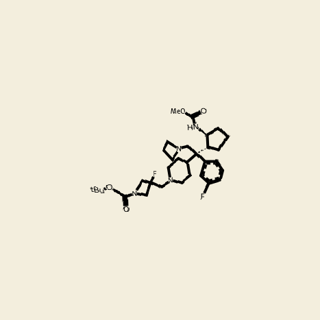 COC(=O)N[C@H]1CCC[C@@H]1C(CN1CCC1)(c1cccc(F)c1)C1CCN(CC2(F)CN(C(=O)OC(C)(C)C)C2)CC1